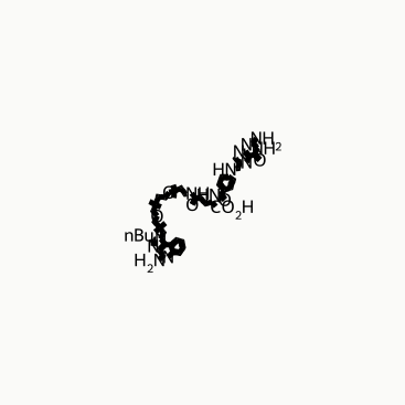 CCCCc1nc2c(N)nc3ccccc3c2n1CC(C)(C)COCC(C)(C)CCOC(C)(C)CCNC(=O)CCC(NC(=O)c1ccc(NCc2cnc3nc(N)[nH]c(=O)c3n2)cc1)C(=O)O